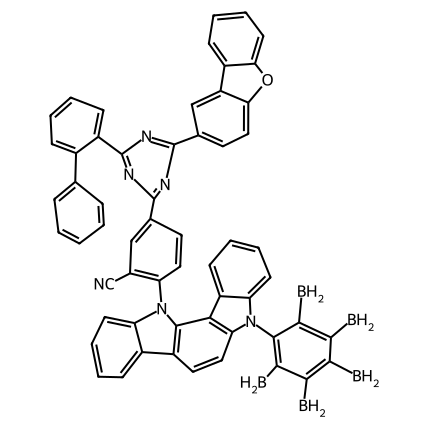 Bc1c(B)c(B)c(-n2c3ccccc3c3c2ccc2c4ccccc4n(-c4ccc(-c5nc(-c6ccc7oc8ccccc8c7c6)nc(-c6ccccc6-c6ccccc6)n5)cc4C#N)c23)c(B)c1B